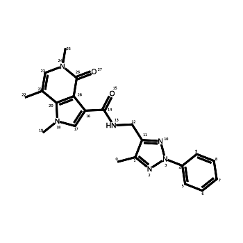 Cc1nn(-c2ccccc2)nc1CNC(=O)c1cn(C)c2c(C)cn(C)c(=O)c12